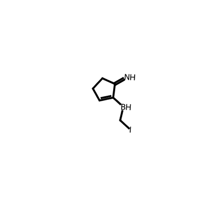 N=C1CCC=C1BCI